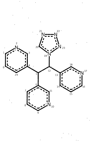 c1cncc(C(c2cccnc2)C(c2cccnc2)n2cnnn2)c1